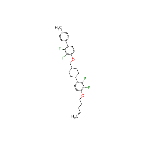 C=CCCCOc1ccc(C2CCC(COc3ccc(-c4ccc(C)cc4)c(F)c3F)CC2)c(F)c1F